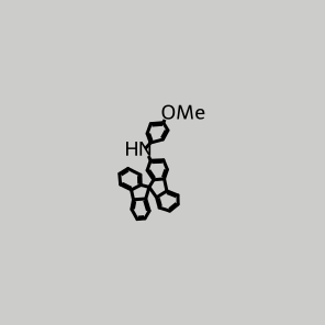 COc1ccc(Nc2ccc3c(c2)C2(c4ccccc4-c4ccccc42)c2ccccc2-3)cc1